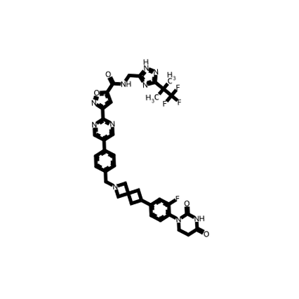 CC(C)(c1n[nH]c(CNC(=O)c2cc(-c3ncc(-c4ccc(CN5CC6(CC(c7ccc(N8CCC(=O)NC8=O)c(F)c7)C6)C5)cc4)cn3)no2)n1)C(F)(F)F